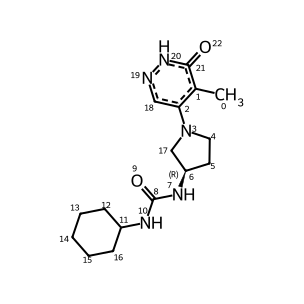 Cc1c(N2CC[C@@H](NC(=O)NC3CCCCC3)C2)cn[nH]c1=O